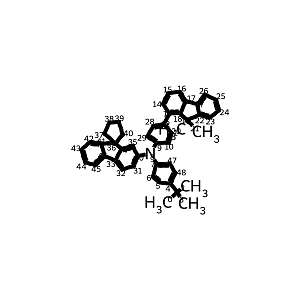 CC(C)(C)c1ccc(N(c2ccc(-c3cccc4c3C(C)(C)c3ccccc3-4)cc2)c2ccc3c(c2)C2(CCCC2)c2ccccc2-3)cc1